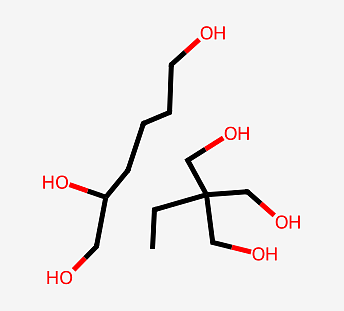 CCC(CO)(CO)CO.OCCCCC(O)CO